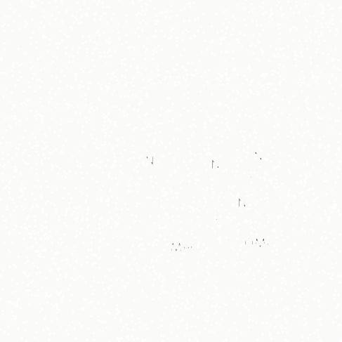 COC(C)(OC)c1ccn2c(-c3cccc(-c4ccccc4C#N)c3)cnc2n1